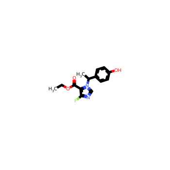 CCOC(=O)c1c(F)ncn1C(C)c1ccc(O)cc1